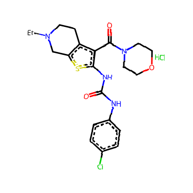 CCN1CCc2c(sc(NC(=O)Nc3ccc(Cl)cc3)c2C(=O)N2CCOCC2)C1.Cl